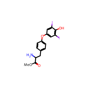 COC(=O)C(N)Cc1ccc(Oc2cc(I)c(O)c(I)c2)cc1